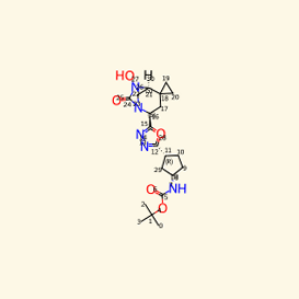 CC(C)(C)OC(=O)N[C@H]1CC[C@@H](c2nnc([C@@H]3CC4(CC4)[C@H]4CN3C(=O)N4O)o2)C1